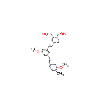 COc1cc(/C=C/c2ccc(CO)c(CO)c2)cc(/C=C/c2ccc(C)c(OC)c2)c1